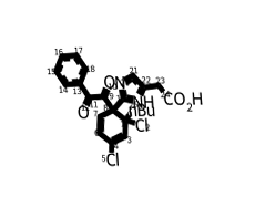 CCCCC1(Cl)C=C(Cl)C=CC1(C(=O)C(=O)c1ccccc1)c1ncc(CC(=O)O)[nH]1